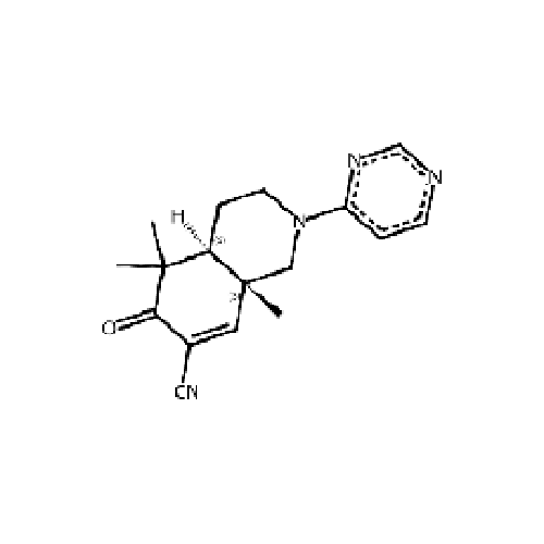 CC1(C)C(=O)C(C#N)=C[C@@]2(C)CN(c3ccncn3)CC[C@H]12